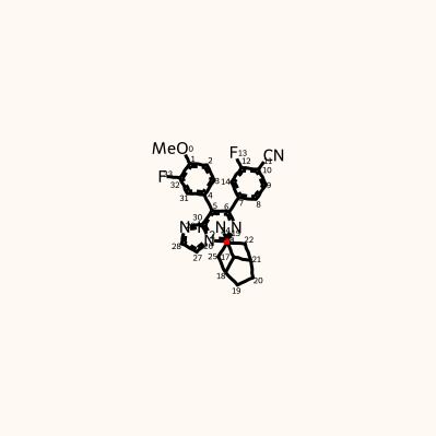 COc1ccc(-c2c(-c3ccc(C#N)c(F)c3)nc(C3C4CCC3CC(N)C4)n3ccnc23)cc1F